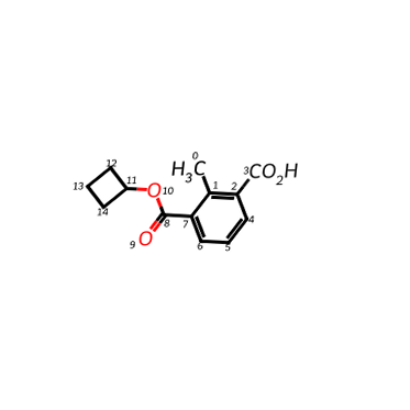 Cc1c(C(=O)O)cccc1C(=O)OC1CCC1